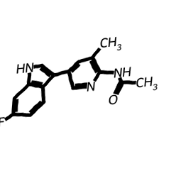 CC(=O)Nc1ncc(-c2c[nH]c3cc(F)ccc23)cc1C